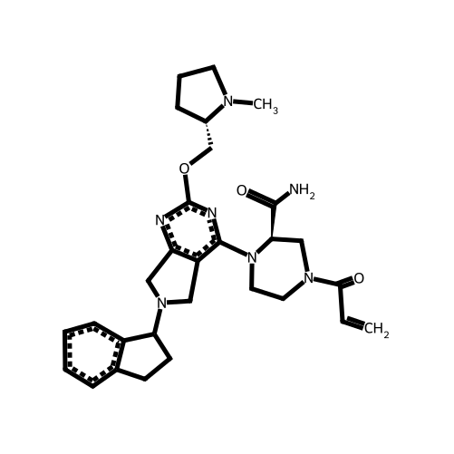 C=CC(=O)N1CCN(c2nc(OC[C@@H]3CCCN3C)nc3c2CN(C2CCc4ccccc42)C3)[C@@H](C(N)=O)C1